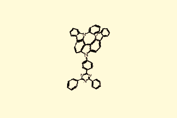 c1ccc(-c2nc(-c3ccccc3)nc(-c3ccc(-n4c5ccc6c7ccccc7oc6c5c5c4ccc4c6ccccc6n(-c6ccccc6)c45)cc3)n2)cc1